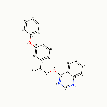 CC(COc1ncnc2ccccc12)c1cccc(Oc2ccccc2)c1